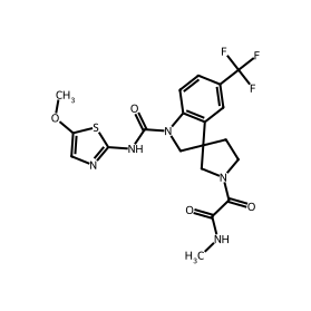 CNC(=O)C(=O)N1CCC2(C1)CN(C(=O)Nc1ncc(OC)s1)c1ccc(C(F)(F)F)cc12